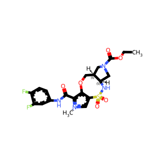 CCOC(=O)N1C[C@@H]2COc3c(cn(C)c3C(=O)Nc3ccc(F)c(F)c3)S(=O)(=O)N[C@@H]2C1